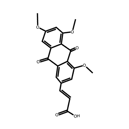 COc1cc(OC)c2c(c1)C(=O)c1cc(/C=C/C(=O)O)cc(OC)c1C2=O